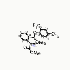 CO/C=C(/C(=O)OC)c1ccccc1COc1ncc(C(F)(F)F)cc1C(F)(F)F